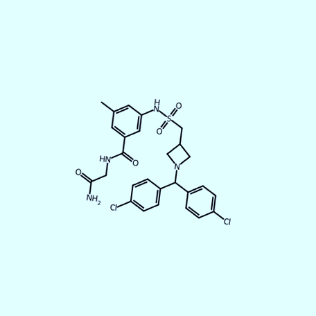 Cc1cc(NS(=O)(=O)CC2CN(C(c3ccc(Cl)cc3)c3ccc(Cl)cc3)C2)cc(C(=O)NCC(N)=O)c1